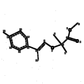 COC(=O)C(C)(C)OC=C(C)c1ccc(C)cc1